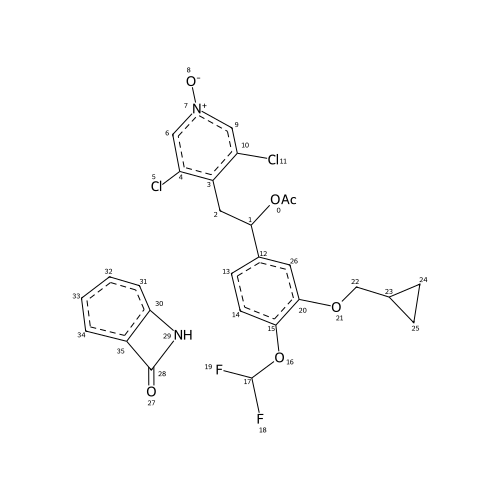 CC(=O)OC(Cc1c(Cl)c[n+]([O-])cc1Cl)c1ccc(OC(F)F)c(OCC2CC2)c1.O=C1Nc2ccccc21